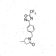 CC1CC(=O)N(Cc2ccc(-c3noc(C(F)(F)F)n3)cc2)C1